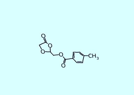 Cc1ccc(C(=O)OCC2OCC(=O)O2)cc1